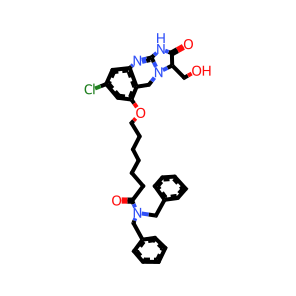 O=C1NC2=Nc3cc(Cl)cc(OCCCCCCC(=O)N(Cc4ccccc4)Cc4ccccc4)c3CN2C1CO